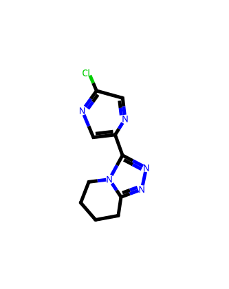 Clc1cnc(-c2nnc3n2CCCC3)cn1